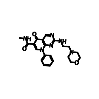 CNC(=O)c1cn(-c2ccccc2)c2nc(NCCN3CCOCC3)ncc2c1=O